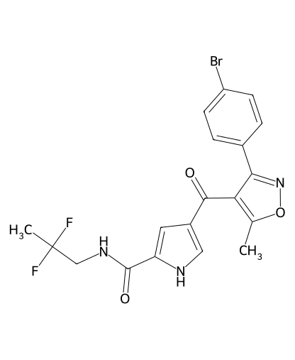 Cc1onc(-c2ccc(Br)cc2)c1C(=O)c1c[nH]c(C(=O)NCC(C)(F)F)c1